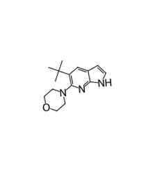 CC(C)(C)c1cc2cc[nH]c2nc1N1CCOCC1